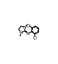 CN1CCN(C)C1=Nc1c(Cl)cccc1Cl